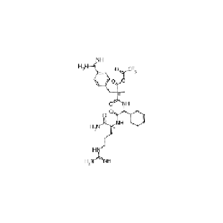 C[C@](Cc1ccc(C(=N)N)cc1)(C(=O)NC(C(=O)N[C@@H](CCCNC(=N)N)C(N)=O)C1CCCCC1)C(=O)OC(=O)C(F)(F)F